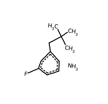 CC(C)(C)Cc1cccc(F)c1.N